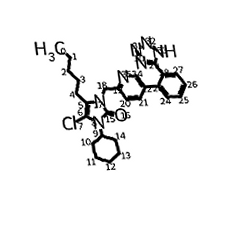 CCCCCc1c(Cl)n(C2CCCCC2)c(=O)n1Cc1ccc(-c2ccccc2-c2nnn[nH]2)cn1